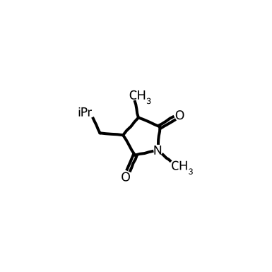 CC(C)CC1C(=O)N(C)C(=O)C1C